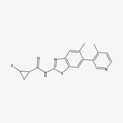 Cc1ccncc1-c1cc2sc(NC(=O)C3CC3F)nc2cc1C